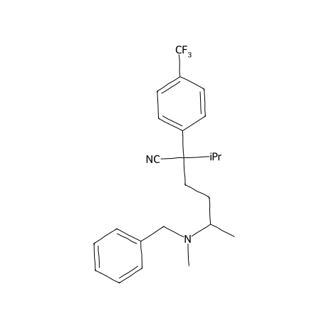 CC(CCC(C#N)(c1ccc(C(F)(F)F)cc1)C(C)C)N(C)Cc1ccccc1